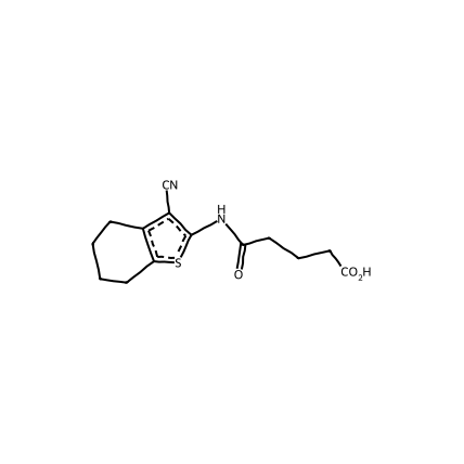 N#Cc1c(NC(=O)CCCC(=O)O)sc2c1CCCC2